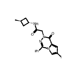 CC(C)c1nn(CC(=O)N[C@H]2C[C@H](C)C2)c(=O)c2cc(I)cn12